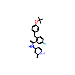 C=C1C=C(NC(=C)c2cc(F)ccc2Cc2ccc(OC(C)(C)C)cc2)C=CN1